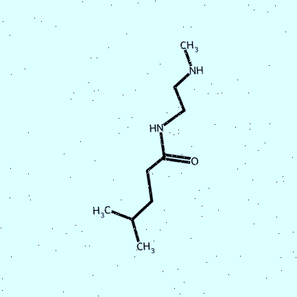 CNCCNC(=O)CCC(C)C